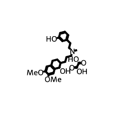 COc1cc2c(cc1OC)C(O)C(CCCN(C)CCc1cccc(O)c1)CC2.O=C(O)C(=O)O